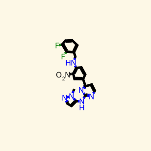 Cn1nccc1Nc1nccc(-c2ccc(NCc3cccc(F)c3F)c([N+](=O)[O-])c2)n1